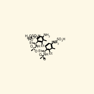 CCc1c(N(CC)NS(C)(=O)=O)ccc(N)c1C.CCc1c(N(CC)NS(C)(=O)=O)ccc(N)c1C.O.O=S(=O)(O)O.O=S(=O)(O)O.O=S(=O)(O)O